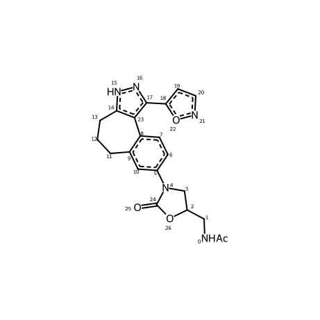 CC(=O)NCC1CN(c2ccc3c(c2)CCCc2[nH]nc(-c4ccno4)c2-3)C(=O)O1